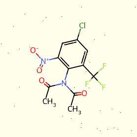 CC(=O)N(C(C)=O)c1c([N+](=O)[O-])cc(Cl)cc1C(F)(F)F